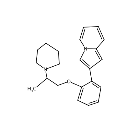 CC(COc1ccccc1-c1cc2ccccn2c1)N1CCCCC1